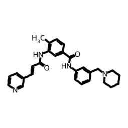 Cc1ccc(C(=O)Nc2cccc(CN3CCCCC3)c2)cc1NC(=O)C=Cc1cccnc1